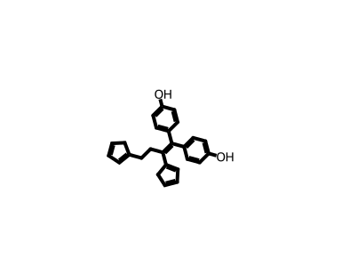 Oc1ccc(C(=C(CCC2=CC=CC2)C2=CC=CC2)c2ccc(O)cc2)cc1